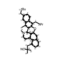 Cc1c2c(c(CC(C)C)c3ccc(CC(C)(C)C)cc13)Oc1cc3cccc(CC(C)(C)C#N)c3c3cc[n+](C)c-2c13